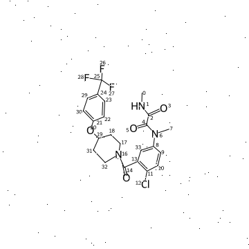 CNC(=O)C(=O)N(C)c1ccc(Cl)c(C(=O)N2CCC(Oc3ccc(C(F)(F)F)cc3)CC2)c1